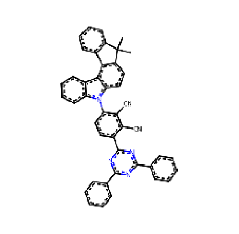 CC1(C)c2ccccc2-c2c1ccc1c2c2ccccc2n1-c1ccc(-c2nc(-c3ccccc3)nc(-c3ccccc3)n2)c(C#N)c1C#N